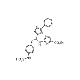 CCOC(=O)c1csc(NC(Cc2ccc(NS(=O)(=O)O)cc2)c2csc(-c3ccccc3)n2)n1